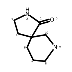 O=C1NCCC12CCC[N]C2